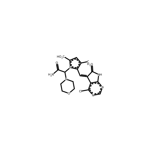 Cc1cc(C(=O)O)n(C(C(N)=O)N2CCOCC2)c1C=C1C(=O)Nc2ncnc(Cl)c21